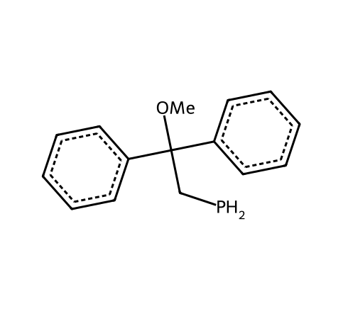 COC(CP)(c1ccccc1)c1ccccc1